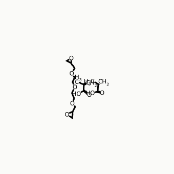 C(COCC1CO1)OCCOCC1CO1.C=C(C)C(=O)O.C=C(C)C(=O)O